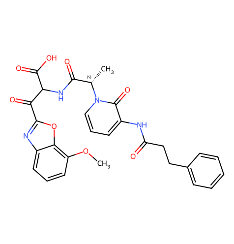 COc1cccc2nc(C(=O)C(NC(=O)[C@H](C)n3cccc(NC(=O)CCc4ccccc4)c3=O)C(=O)O)oc12